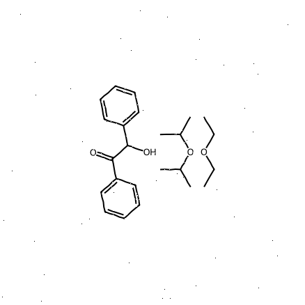 CC(C)OC(C)C.CCOCC.O=C(c1ccccc1)C(O)c1ccccc1